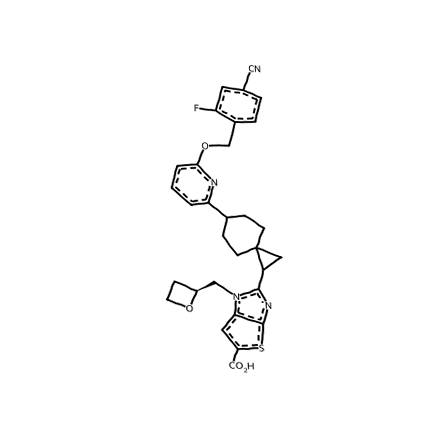 N#Cc1ccc(COc2cccc(C3CCC4(CC3)CC4c3nc4sc(C(=O)O)cc4n3C[C@@H]3CCO3)n2)c(F)c1